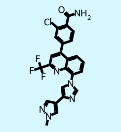 Cn1cc(-c2cn(-c3cccc4c(-c5ccc(C(N)=O)c(Cl)c5)cc(C(F)(F)F)nc34)cn2)cn1